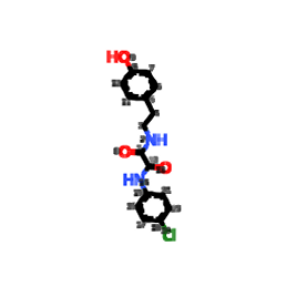 O=C(NCCc1ccc(O)cc1)C(=O)Nc1ccc(Cl)cc1